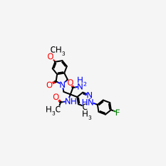 C/C=C(\C=N/Nc1ccc(F)cc1)C(CN1Cc2ccc(OC)cc2C1=O)(NC(C)=O)C(N)=O